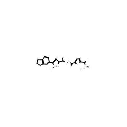 CCN(CC)C(=O)c1ccc(C(=O)N/N=C(\C)c2nn(C)c(-c3ccc4c(c3)CCC4)c2O)s1